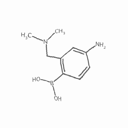 CN(C)Cc1cc(N)ccc1B(O)O